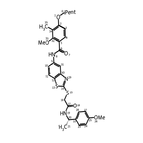 CCCC(C)Oc1ccc(C(=O)Nc2ccc3sc(SCC(=O)N[C@@H](C)c4ccc(OC)cc4)nc3c2)c(OC)c1C